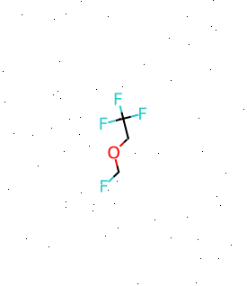 FCOCC(F)(F)F